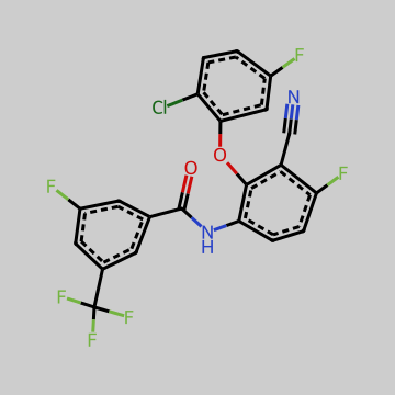 N#Cc1c(F)ccc(NC(=O)c2cc(F)cc(C(F)(F)F)c2)c1Oc1cc(F)ccc1Cl